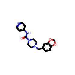 O=C(Nc1ccncc1)N1CCN(Cc2ccc3c(c2)OCO3)CC1